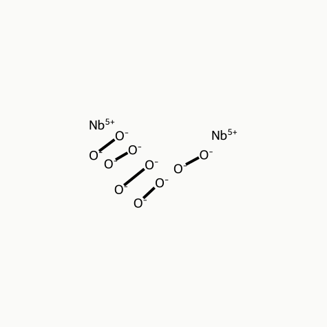 [Nb+5].[Nb+5].[O-][O-].[O-][O-].[O-][O-].[O-][O-].[O-][O-]